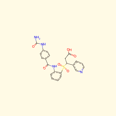 NC(=O)Nc1ccc(C(=O)Nc2ccccc2S(=O)(=O)C(CC(=O)O)c2cccnc2)cc1